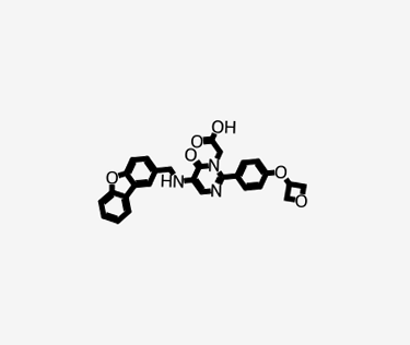 O=C(O)Cn1c(-c2ccc(OC3COC3)cc2)ncc(NCc2ccc3oc4ccccc4c3c2)c1=O